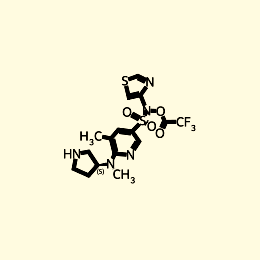 Cc1cc(S(=O)(=O)N(OC(=O)C(F)(F)F)c2cscn2)cnc1N(C)[C@H]1CCNC1